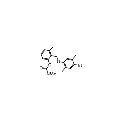 CCc1cc(C)c(OCc2c(C)cccc2OC(=O)NC)cc1C